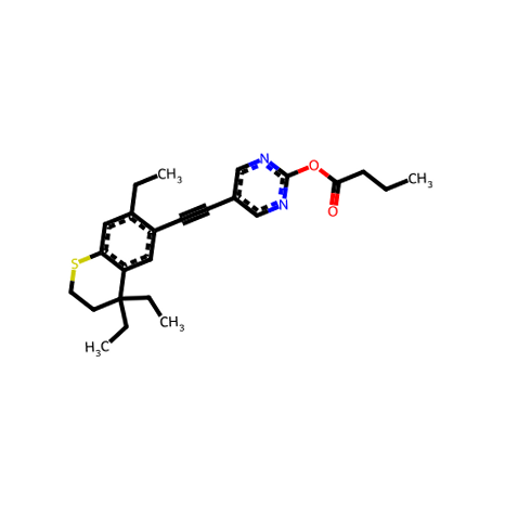 CCCC(=O)Oc1ncc(C#Cc2cc3c(cc2CC)SCCC3(CC)CC)cn1